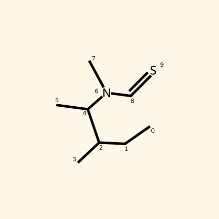 CCC(C)C(C)N(C)C=S